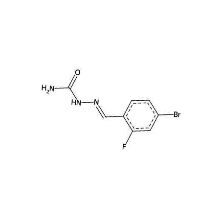 NC(=O)N/N=C/c1ccc(Br)cc1F